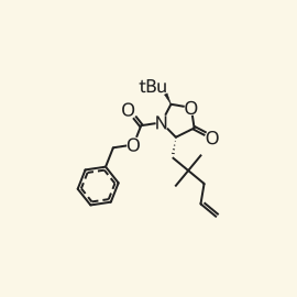 C=CCC(C)(C)C[C@H]1C(=O)O[C@H](C(C)(C)C)N1C(=O)OCc1ccccc1